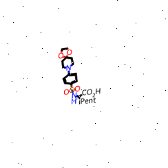 CCCC(C)[C@H](NS(=O)(=O)c1ccc(N2CCC3(CC2)OCCO3)cc1)C(=O)O